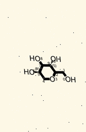 OCC1OC[C@@H](O)C(O)[C@@H]1O